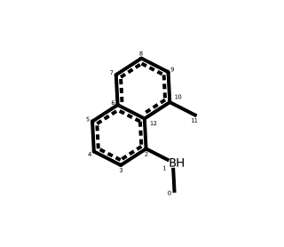 CBc1cccc2cccc(C)c12